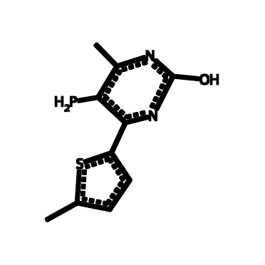 Cc1ccc(-c2nc(O)nc(C)c2P)s1